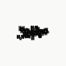 N=C(N)NCC[C@@H](NC(=O)CNC(=O)[C@@H](Cc1ccccc1)NC(=O)CN)C(=O)N1CCC(N2CCCC2)CC1